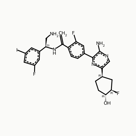 C=C(N[C@H](CN)c1cc(F)cc(I)c1)c1ccc(-c2nc([C@@H]3CC[C@@H](O)[C@H](F)C3)cnc2N)cc1F